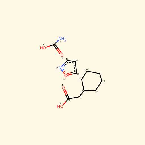 NC(=O)O.O=C(O)CC1CCCCC1.c1cnoc1